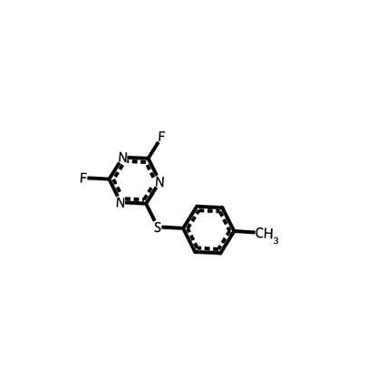 Cc1ccc(Sc2nc(F)nc(F)n2)cc1